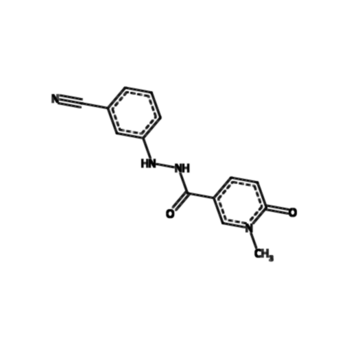 Cn1cc(C(=O)NNc2cccc(C#N)c2)ccc1=O